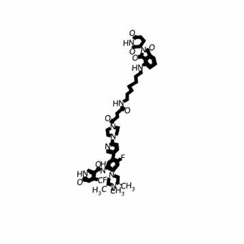 C[C@@H]1CN(c2cc(F)c(-c3ccc(N4CCN(C(=O)CCC(=O)NCCCCCCCNc5cccc6c5C(=O)N(C5CCC(=O)NC5=O)C6=O)CC4)nc3)cc2NC(=O)c2c[nH]c(=O)cc2C(F)(F)F)C[C@H](C)N1C